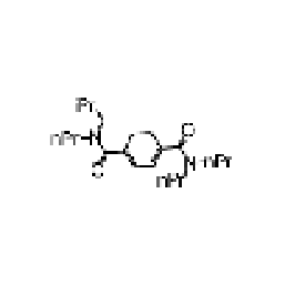 CCCN(CCC)C(=O)C1=CC=C(C(=O)N(CCC)CC(C)C)CC1